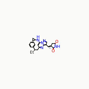 CCC(Cc1cc(NC2CC2)n2ncc(/C=C3\CC(=O)NC3=O)c2n1)c1ccccc1